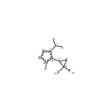 CC(C)c1cnn(C)c1C1CC1(F)F